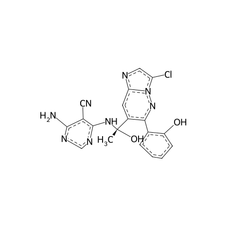 C[C@@](O)(Nc1ncnc(N)c1C#N)c1cc2ncc(Cl)n2nc1-c1ccccc1O